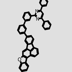 c1ccc(-c2cc(-c3ccccc3)nc(-c3cccc(-c4cccc(-c5ccc6c(c5)-c5cc7oc8ccccc8c7c7cccc-6c57)c4)c3)n2)cc1